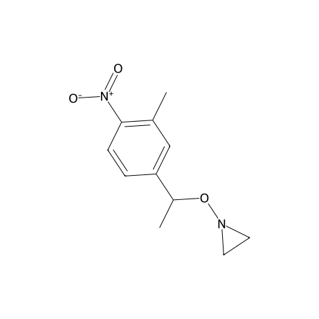 Cc1cc(C(C)ON2CC2)ccc1[N+](=O)[O-]